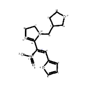 O=[N+]([O-])/C(=C\c1ccco1)C1=NCCN1CC1CCOC1